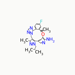 Cc1nn(CC(C)C)c2c1Cn1ncnc1-c1ccc(F)cc1[C@@H](C)Oc1cc-2cnc1N